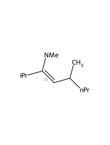 CCCC(C)/C=C(\NC)C(C)C